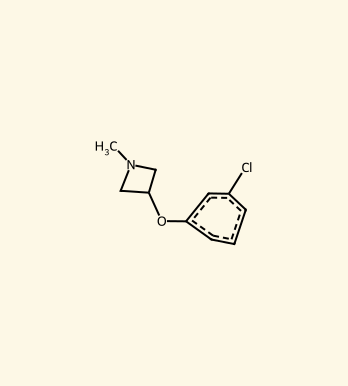 CN1CC(Oc2cccc(Cl)c2)C1